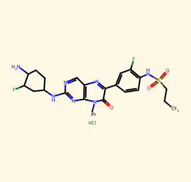 CC(C)n1c(=O)c(-c2ccc(NS(=O)(=O)CCC(F)(F)F)c(F)c2)nc2cnc(NC3CCC(N)C(F)C3)nc21.Cl